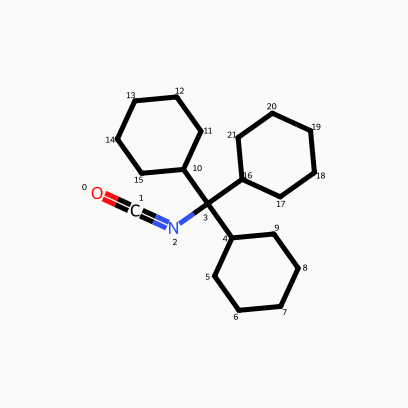 O=C=NC(C1CCCCC1)(C1CCCCC1)C1CCCCC1